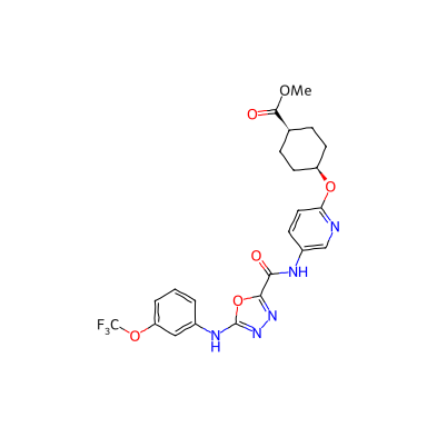 COC(=O)[C@H]1CC[C@@H](Oc2ccc(NC(=O)c3nnc(Nc4cccc(OC(F)(F)F)c4)o3)cn2)CC1